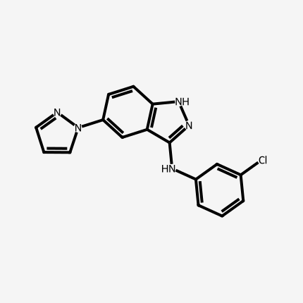 Clc1cccc(Nc2n[nH]c3ccc(-n4cccn4)cc23)c1